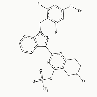 CCOc1cc(F)c(Cn2nc(-c3nc4c(c(OS(=O)(=O)C(F)(F)F)n3)CN(CC)CC4)c3ccccc32)c(F)c1